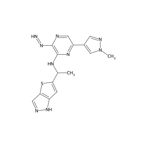 CC(Nc1nc(-c2cnn(C)c2)cnc1N=N)c1cc2[nH]ncc2s1